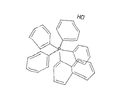 Cl.c1ccc(P(c2ccccc2)(c2ccccc2)(c2ccccc2)c2cccc3ccccc23)cc1